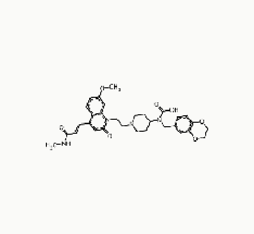 CNC(=O)/C=C/c1cc(=O)n(CCN2CCC(N(Cc3ccc4c(c3)OCCO4)C(=O)O)CC2)c2cc(OC)ccc12